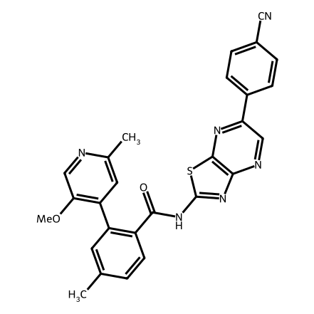 COc1cnc(C)cc1-c1cc(C)ccc1C(=O)Nc1nc2ncc(-c3ccc(C#N)cc3)nc2s1